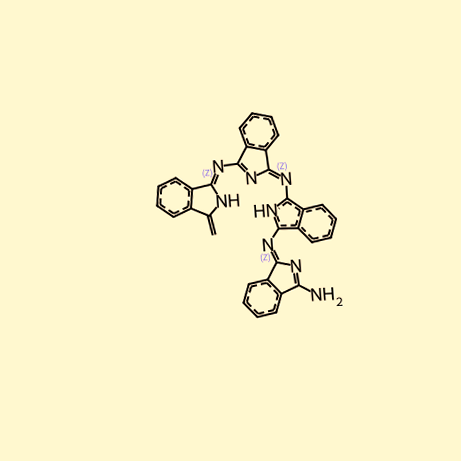 C=C1N/C(=N\C2=NC(=N\c3[nH]c(/N=C4\N=C(N)c5ccccc54)c4ccccc34)/c3ccccc32)c2ccccc21